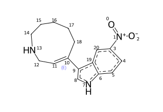 O=[N+]([O-])c1ccc2[nH]cc(/C3=C/CNCCCCC3)c2c1